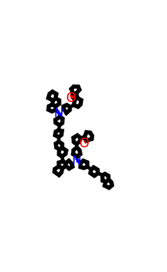 c1ccc2cc(-c3ccc(-c4ccc(N(c5ccc(-c6cccc7c6oc6ccccc67)cc5)c5ccc6c(c5)c(-c5ccc7cc(-c8ccc(-c9ccc(N(c%10ccc(-c%11cccc%12c%11oc%11ccccc%11%12)cc%10)c%10cccc%11c%10ccc%10ccccc%10%11)cc9)cc8)ccc7c5)cc5ccccc56)cc4)cc3)ccc2c1